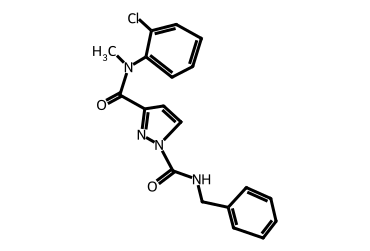 CN(C(=O)c1ccn(C(=O)NCc2ccccc2)n1)c1ccccc1Cl